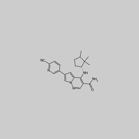 CC1CC[C@@H](Nc2c(C(N)=O)cnn3cc(-c4ccc(C#N)nc4)cc23)C1(C)C